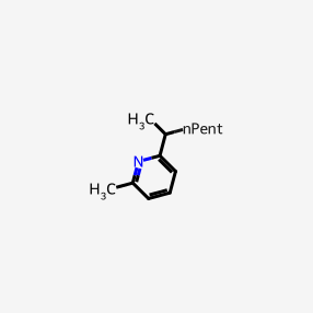 CCCCCC(C)c1cccc(C)n1